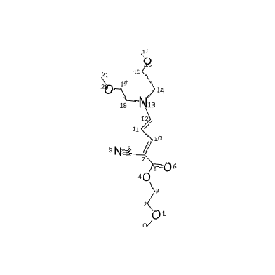 COCCOC(=O)/C(C#N)=C/C=C/N(CCOC)CCOC